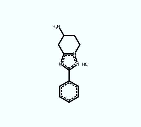 Cl.NC1CCn2nc(-c3ccccc3)nc2C1